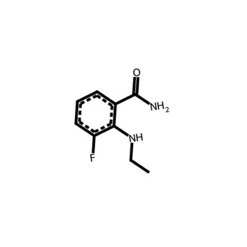 CCNc1c(F)cccc1C(N)=O